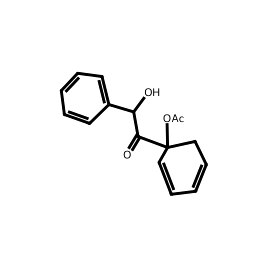 CC(=O)OC1(C(=O)C(O)c2ccccc2)C=CC=CC1